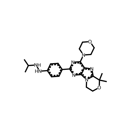 CC(C)NNc1ccc(-c2nc(N3CCOCC3)c3nc4n(c3n2)CCOC4(C)C)cc1